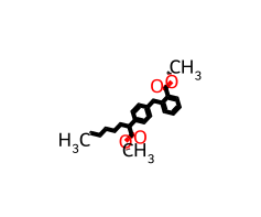 CCCCCCC(C(=O)OC)c1ccc(Cc2ccccc2C(=O)OCC)cc1